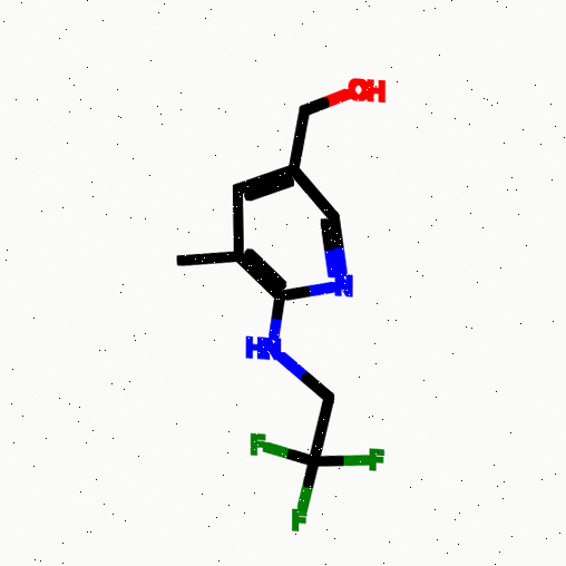 Cc1cc(CO)cnc1NCC(F)(F)F